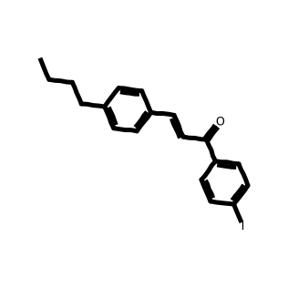 CCCCc1ccc(C=CC(=O)c2ccc(I)cc2)cc1